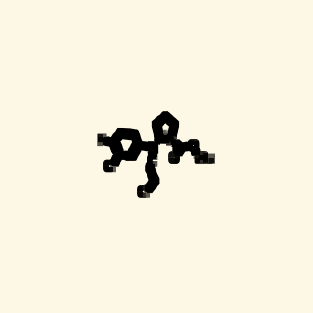 CC(C)(C)OC(=O)N1CCC[C@H]1N(CCCCl)c1ccc(F)c(Cl)c1